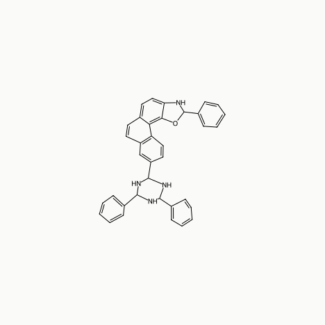 c1ccc(C2NC(c3ccccc3)NC(c3ccc4c(ccc5ccc6c(c54)OC(c4ccccc4)N6)c3)N2)cc1